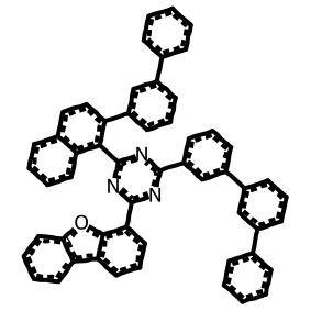 c1ccc(-c2cccc(-c3cccc(-c4nc(-c5c(-c6cccc(-c7ccccc7)c6)ccc6ccccc56)nc(-c5cccc6c5oc5ccccc56)n4)c3)c2)cc1